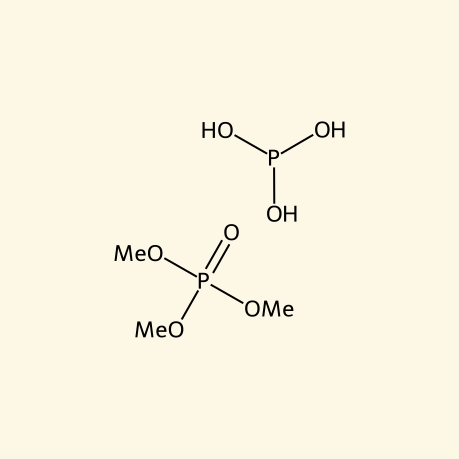 COP(=O)(OC)OC.OP(O)O